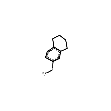 FC(F)(F)Sc1ccc2c(c1)[CH]CCC2